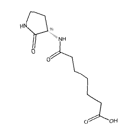 O=C(O)CCCCCC(=O)N[C@H]1CCNC1=O